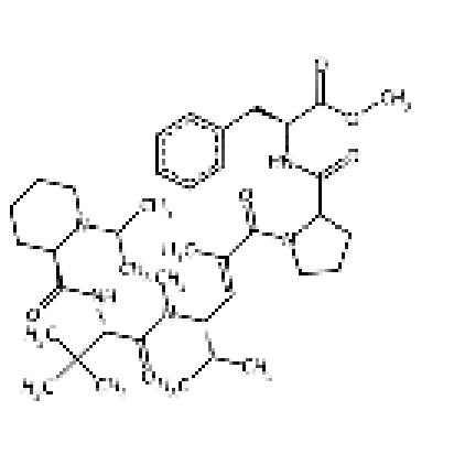 COC(=O)[C@H](Cc1ccccc1)NC(=O)C1CCCN1C(=O)/C(C)=C/[C@H](C(C)C)N(C)C(=O)[C@@H](NC(=O)[C@H]1CCCCN1C(C)C)C(C)(C)C